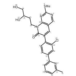 CSc1ncc2cc(-c3ccc(-c4cncc(C)n4)cc3Cl)c(=O)n(CCC(O)CO)c2n1